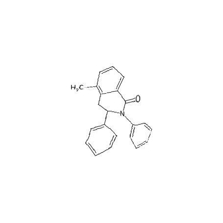 Cc1cccc2c1CC(c1ccccc1)N(c1ccccc1)C2=O